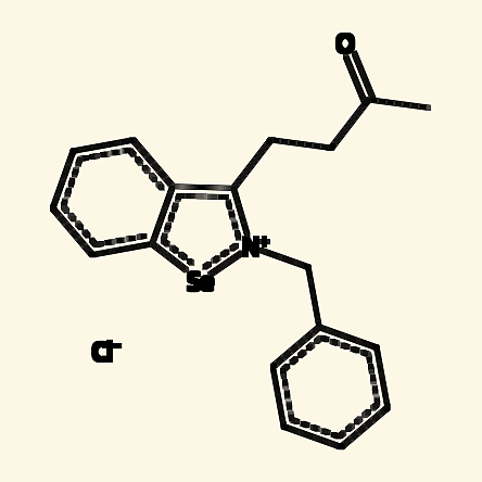 CC(=O)CCc1c2ccccc2[se][n+]1Cc1ccccc1.[Cl-]